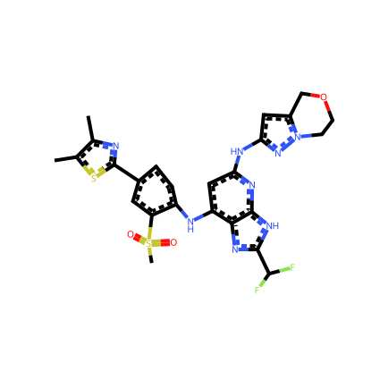 Cc1nc(-c2ccc(Nc3cc(Nc4cc5n(n4)CCOC5)nc4[nH]c(C(F)F)nc34)c(S(C)(=O)=O)c2)sc1C